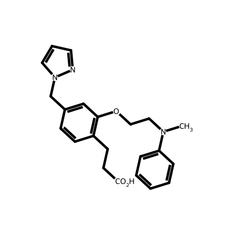 CN(CCOc1cc(Cn2cccn2)ccc1CCC(=O)O)c1ccccc1